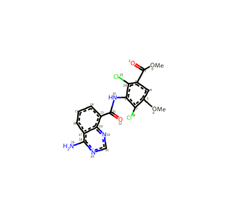 COC(=O)c1cc(OC)c(Cl)c(NC(=O)c2cccc3c(N)ncnc23)c1Cl